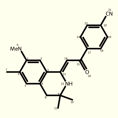 CNc1cc2c(cc1C)CC(C)(C)NC2=CC(=O)c1ccc(C#N)cc1